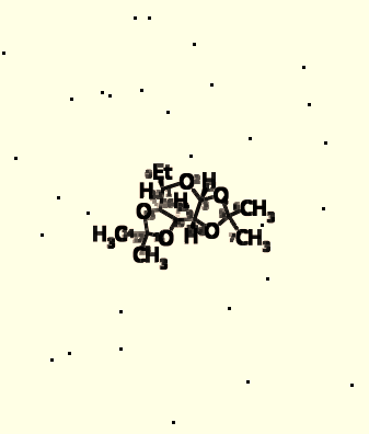 CC[C@H]1O[C@@H]2OC(C)(C)O[C@@H]2[C@H]2OC(C)(C)O[C@H]21